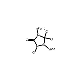 CCCCCN1C(=O)N(Cl)N(SC)C1(Cl)Cl